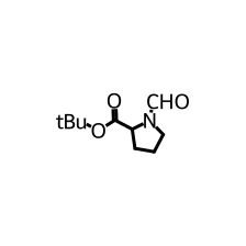 CC(C)(C)OC(=O)C1CCCN1C=O